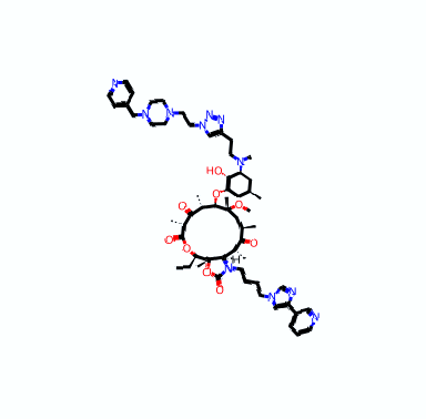 CC[C@H]1OC(=O)[C@H](C)C(=O)[C@H](C)[C@@H](O[C@@H]2C[C@H](C)C[C@H](N(C)CCc3cn(CCN4CCN(Cc5ccncc5)CC4)nn3)[C@H]2O)[C@](C)(OC)C[C@@H](C)C(=O)[C@H](C)[C@H]2N(CCCCn3cnc(-c4cccnc4)c3)C(=O)O[C@]12C